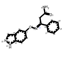 NC(=O)C/C(=N\Oc1ccc2[nH]ncc2c1)c1ccccc1